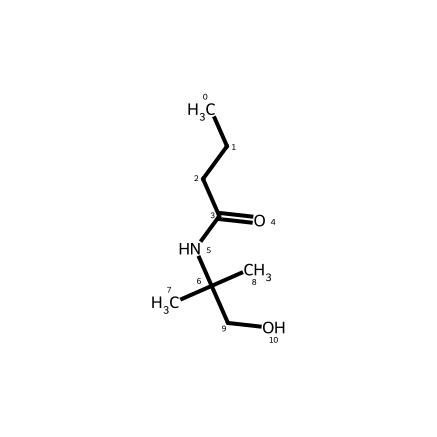 CCCC(=O)NC(C)(C)CO